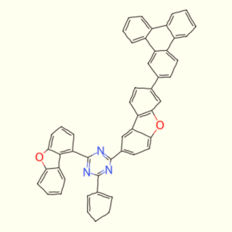 C1=CC(c2nc(-c3ccc4oc5cc(-c6ccc7c8ccccc8c8ccccc8c7c6)ccc5c4c3)nc(-c3cccc4oc5ccccc5c34)n2)=CCC1